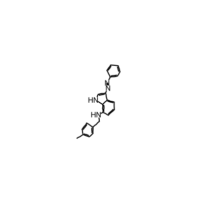 Cc1ccc(CNc2cccc3c(/N=N/c4ccccc4)c[nH]c23)cc1